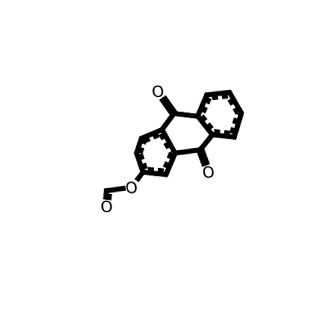 O=COc1ccc2c(c1)C(=O)c1ccccc1C2=O